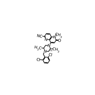 CC1CN(c2cc(=O)n(C)c3ccc(C#N)nc23)[C@@H](C)CN1Cc1c(Cl)cccc1Cl